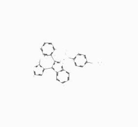 COc1ccc([S+]([O-])n2c(-c3ccccc3)c(-c3ccsc3OC)c3ccccc32)cc1